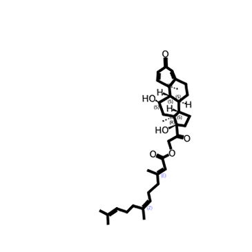 CC(C)=CCC/C(C)=C\CC/C(C)=C/C(=O)OCC(=O)[C@@]1(O)CC[C@H]2[C@@H]3CCC4=CC(=O)C=C[C@]4(C)[C@H]3[C@@H](O)C[C@@]21C